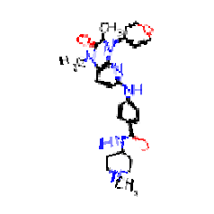 C[C@@H]1C(=O)N(C)c2ccc(Nc3ccc(C(=O)NC4CCN(C)CC4)cc3)nc2N1C1CCOCC1